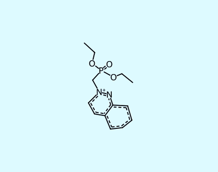 CCOP(=O)(C[n+]1ccc2ccccc2n1)OCC